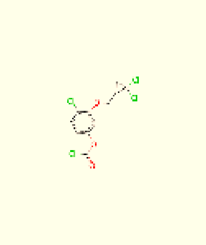 O=C(Cl)Oc1ccc(Cl)c(OCC2CC2(Cl)Cl)c1